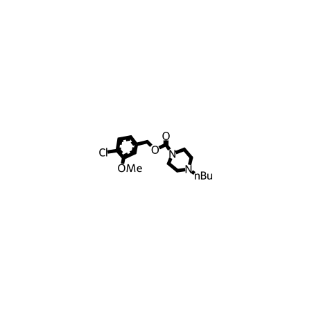 [CH2]CCCN1CCN(C(=O)OCc2ccc(Cl)c(OC)c2)CC1